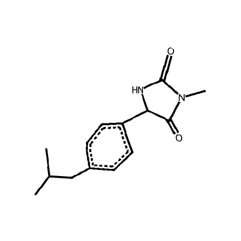 CC(C)Cc1ccc(C2NC(=O)N(C)C2=O)cc1